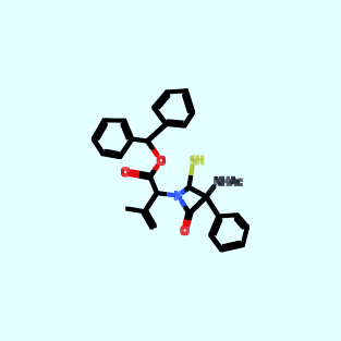 C=C(C)C(C(=O)OC(c1ccccc1)c1ccccc1)N1C(=O)C(NC(C)=O)(c2ccccc2)C1S